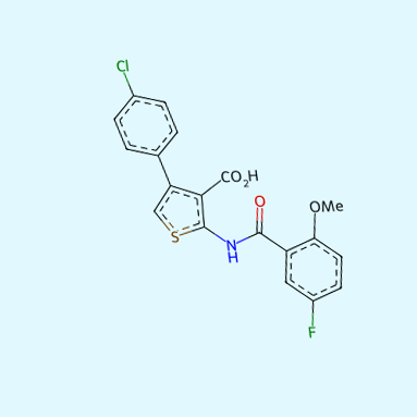 COc1ccc(F)cc1C(=O)Nc1scc(-c2ccc(Cl)cc2)c1C(=O)O